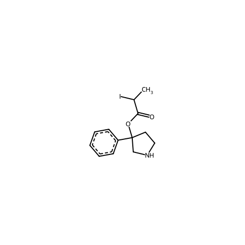 CC(I)C(=O)OC1(c2ccccc2)CCNC1